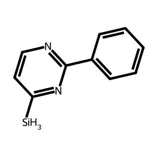 [SiH3]c1ccnc(-c2ccccc2)n1